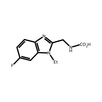 CCn1c(CNC(=O)O)nc2ccc(F)cc21